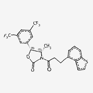 C[C@H]1[C@@H](c2cc(C(F)(F)F)cc(C(F)(F)F)c2)OC(=O)N1C(=O)CCc1cccc2sccc12